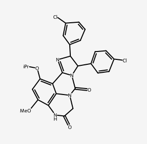 COc1cc(OC(C)C)c2c3c1NC(=O)CN3C(=O)N1C2=NC(c2cccc(Cl)c2)C1c1ccc(Cl)cc1